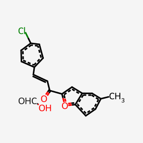 Cc1ccc2oc(C(=O)C=Cc3ccc(Cl)cc3)cc2c1.O=CO